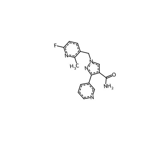 Cc1nc(F)ccc1Cn1cc(C(N)=O)c(-c2cccnc2)n1